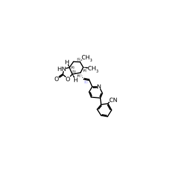 C[C@H]1[C@H](/C=C/c2ccc(-c3ccccc3C#N)cn2)[C@@H]2OC(=O)N[C@@H]2C[C@@H]1C